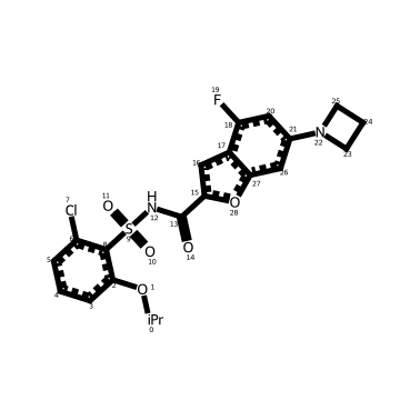 CC(C)Oc1cccc(Cl)c1S(=O)(=O)NC(=O)c1cc2c(F)cc(N3CCC3)cc2o1